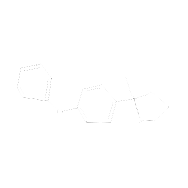 CC1(c2ccc(Oc3ccccc3)cc2)SCCS1